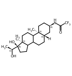 C[C@H](O)[C@@]1(O)CCC2C3CC[C@H]4C[C@H](NC(=O)C(F)(F)F)CC[C@]4(C)C3CC[C@@]21C